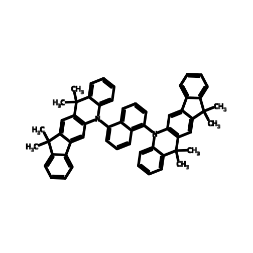 CC1(C)c2ccccc2-c2cc3c(cc21)C(C)(C)c1ccccc1N3c1cccc2c(N3c4ccccc4C(C)(C)c4cc5c(cc43)-c3ccccc3C5(C)C)cccc12